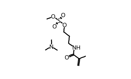 C=C(C)C(=O)NCCCOS(=O)(=O)OC.CN(C)C